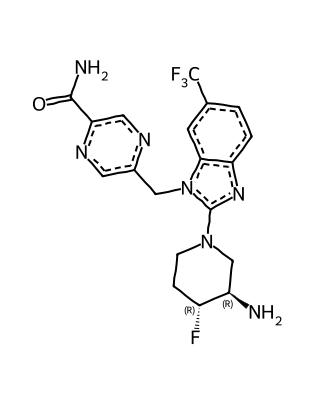 NC(=O)c1cnc(Cn2c(N3CC[C@@H](F)[C@H](N)C3)nc3ccc(C(F)(F)F)cc32)cn1